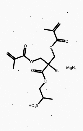 C=C(C)C(=O)OCC(CC)(COC(=O)C(=C)C)C(=O)OCC(C)S(=O)(=O)O.[MgH2]